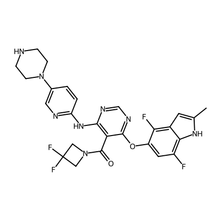 Cc1cc2c(F)c(Oc3ncnc(Nc4ccc(N5CCNCC5)cn4)c3C(=O)N3CC(F)(F)C3)cc(F)c2[nH]1